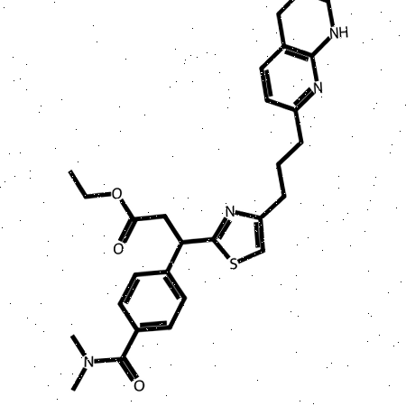 CCOC(=O)CC(c1ccc(C(=O)N(C)C)cc1)c1nc(CCCc2ccc3c(n2)NCCC3)cs1